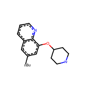 CCCCc1cc(OC2CC[N]CC2)c2ncccc2c1